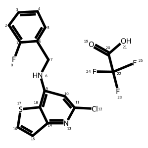 Fc1ccccc1CNc1cc(Cl)nc2ccsc12.O=C(O)C(F)(F)F